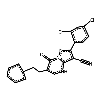 N#Cc1c(-c2ccc(Cl)cc2Cl)nn2c(=O)c(CCc3ccccc3)c[nH]c12